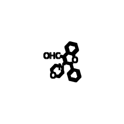 O=CC1=C(N2CCOCC2)C(c2ccccc2)Oc2ccccc21